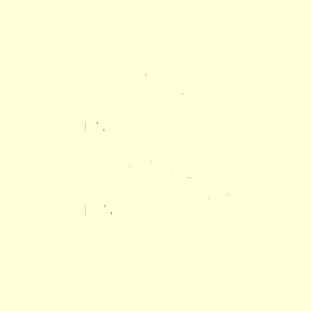 CCCC(CC)CC(C)(C)N.CCCC(CC)CC(C)(C)N